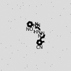 Cc1cc(C#N)ccc1-c1ccnc(NCc2cn(-c3ccccc3[N+](=O)[O-])nn2)n1